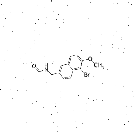 COc1ccc2cc(CNC=O)ccc2c1Br